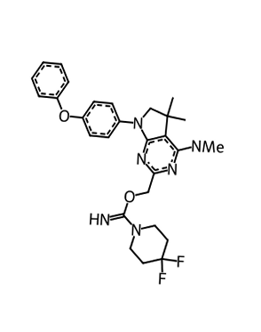 CNc1nc(COC(=N)N2CCC(F)(F)CC2)nc2c1C(C)(C)CN2c1ccc(Oc2ccccc2)cc1